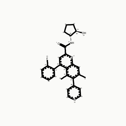 Cc1cc2nc(C(=O)N[C@@H]3CCC[C@H]3O)cc(-c3ccccc3F)c2c(C)c1-c1ccncc1